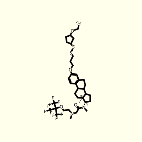 [2H]COC1CCC(SSCCCOc2ccc3c(c2)CCC2C3CC[C@@]3(C)C2CC[C@@H]3N(C)C(=O)CN(C)CCOC(C(F)(F)F)(C(F)(F)F)C(F)(F)F)C1